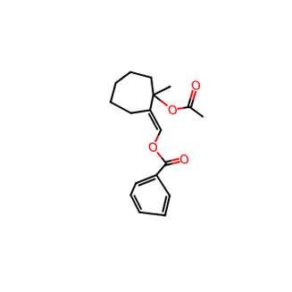 CC(=O)OC1(C)CCCCCC1=COC(=O)c1ccccc1